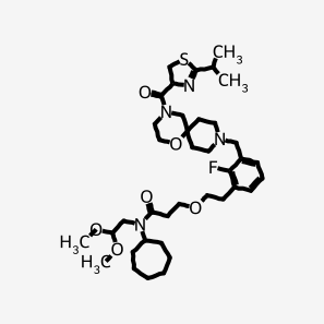 COC(CN(C(=O)CCOCCc1cccc(CN2CCC3(CC2)CN(C(=O)C2CSC(C(C)C)=N2)CCO3)c1F)C1CCCCCC1)OC